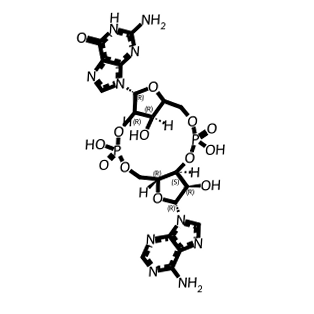 Nc1nc2c(ncn2[C@@H]2OC3COP(=O)(O)O[C@H]4[C@@H](O)[C@H](n5cnc6c(N)ncnc65)O[C@@H]4COP(=O)(O)O[C@@H]2[C@@H]3O)c(=O)[nH]1